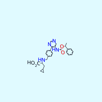 CC(OC(=O)Nc1cncnc1-c1ccc(CNC(CC2CC2)C(=O)O)cc1)c1ccccc1